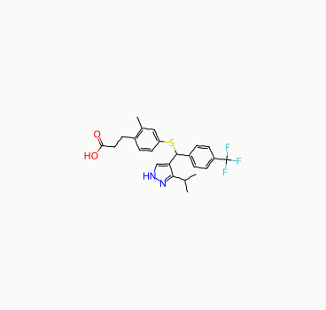 Cc1cc(SC(c2ccc(C(F)(F)F)cc2)c2c[nH]nc2C(C)C)ccc1CCC(=O)O